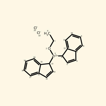 CC[O][Zr+2]([CH]1C=Cc2ccccc21)[CH]1C=Cc2ccccc21.[Cl-].[Cl-]